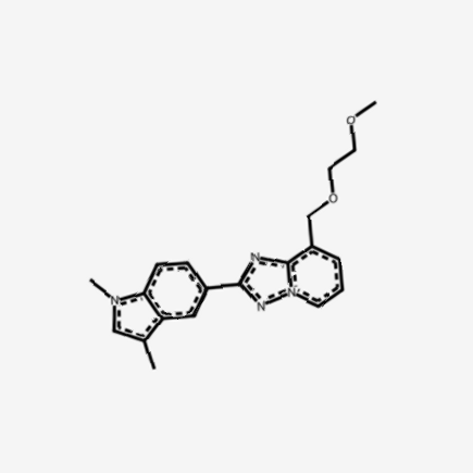 COCCOCc1cccn2nc(-c3ccc4c(c3)c(C)cn4C)nc12